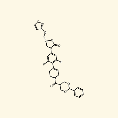 O=C(C1COC(c2ccccc2)OC1)N1CC=C(c2c(F)cc(N3C[C@H](COc4ccon4)OC3=O)cc2F)CC1